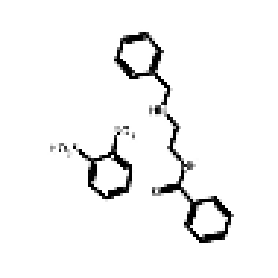 O=C(NCCNCc1ccccc1)c1ccccc1.O=[N+]([O-])c1ccccc1S(=O)(=O)O